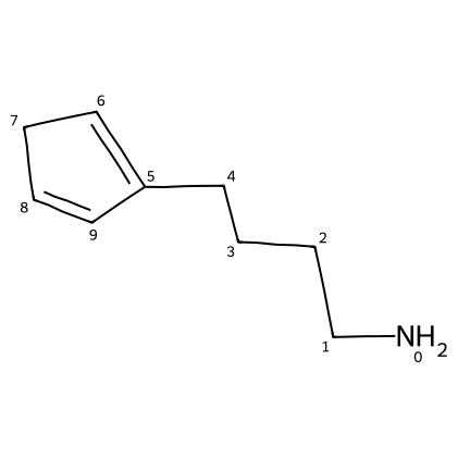 NCCCCC1=CCC=C1